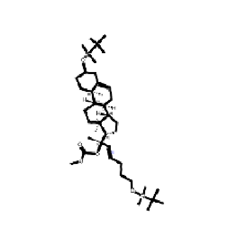 COC(=O)O[C@@](C)(/C=C/CCCO[Si](C)(C)C(C)(C)C)[C@H]1CC[C@H]2[C@@H]3CC=C4CC(O[Si](C)(C)C(C)(C)C)CC[C@]4(C)[C@H]3CC[C@@]21C